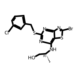 C[C@H](CO)Nc1nc(SCc2cccc(Cl)c2)nc2nc(Br)sc12